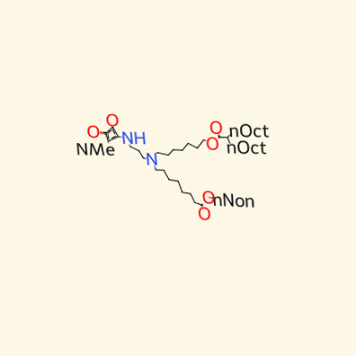 CCCCCCCCCOC(=O)CCCCCCCN(CCCCCCCOC(=O)C(CCCCCCCC)CCCCCCCC)CCCNc1c(NC)c(=O)c1=O